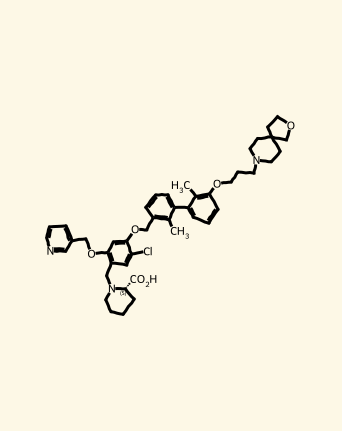 Cc1c(COc2cc(OCc3cccnc3)c(CN3CCCC[C@H]3C(=O)O)cc2Cl)cccc1-c1cccc(OCCCN2CCC3(CCOC3)CC2)c1C